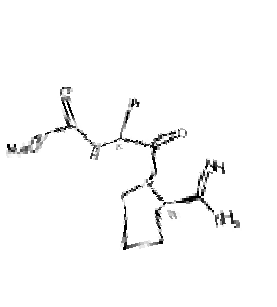 COC(=O)N[C@H](C(=O)N1CCC[C@@H]1C(=N)N)C(C)C